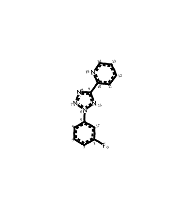 Fc1cccc(-n2nnc(-c3ccccn3)n2)c1